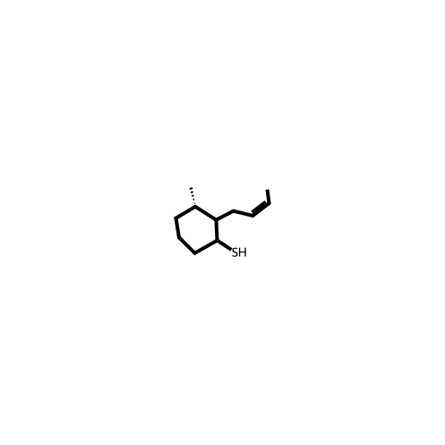 C/C=C\CC1C(S)CCC[C@@H]1C